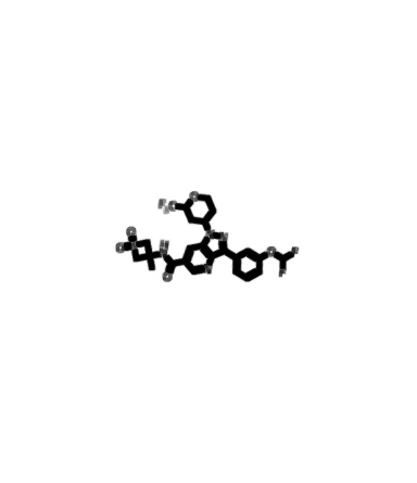 CC1(NC(=O)c2cnc3c(-c4cccc(OC(F)F)c4)nn(C4CCOC(C(F)(F)F)C4)c3c2)CS(=O)(=O)C1